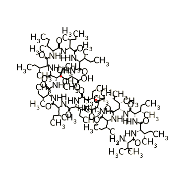 CC[C@H](C)[C@H](NC(=O)[C@@H](NC(=O)[C@@H](NC(=O)[C@@H](NC(=O)[C@@H](NC(=O)[C@@H](NC(=O)[C@@H](NC(=O)[C@@H](NC(=O)[C@@H](NC(=O)[C@@H](NC(=O)[C@@H](NC(=O)[C@@H](NC(=O)[C@@H](NC(=O)[C@@H](NC(=O)[C@@H](NC(=O)[C@@H](N)C(C)C)[C@@H](C)CC)[C@@H](C)CC)[C@@H](C)CC)[C@@H](C)CC)[C@@H](C)CC)[C@@H](C)CC)[C@@H](C)CC)[C@@H](C)CC)[C@@H](C)CC)[C@@H](C)CC)[C@@H](C)CC)[C@@H](C)CC)[C@@H](C)CC)[C@@H](C)CC)C(=O)O